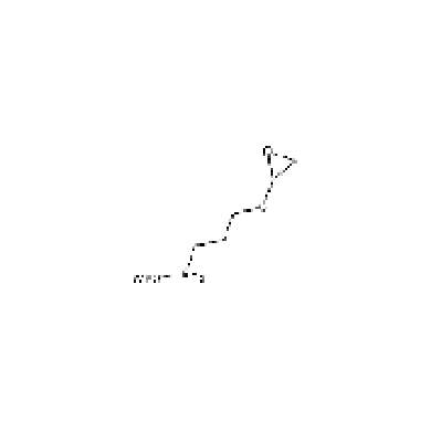 CO[SiH2]CCCOC1CO1